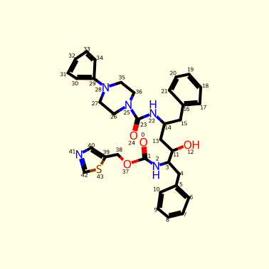 O=C(NC(Cc1ccccc1)C(O)CC(Cc1ccccc1)NC(=O)N1CCN(c2ccccc2)CC1)OCc1cncs1